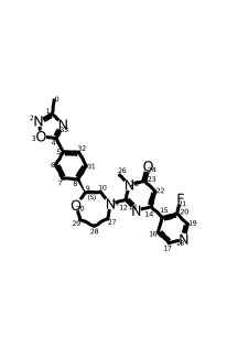 Cc1noc(-c2ccc([C@H]3CN(c4nc(-c5ccncc5F)cc(=O)n4C)CCCO3)cc2)n1